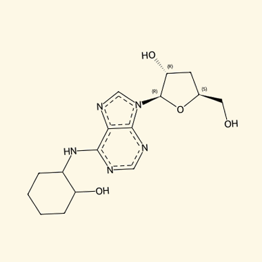 OC[C@@H]1C[C@@H](O)[C@H](n2cnc3c(NC4CCCCC4O)ncnc32)O1